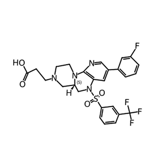 O=C(O)CCN1CCN2c3ncc(-c4cccc(F)c4)cc3N(S(=O)(=O)c3cccc(C(F)(F)F)c3)C[C@@H]2C1